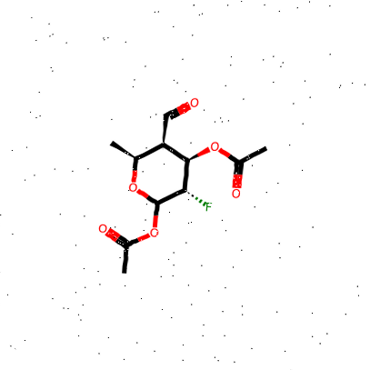 CC(=O)OC1O[C@@H](C)[C@@H](C=O)[C@@H](OC(C)=O)[C@@H]1F